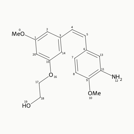 COc1cc(/C=C\c2ccc(OC)c(N)c2)cc(OCCO)c1